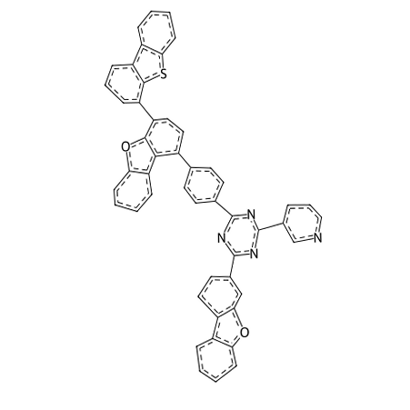 c1cncc(-c2nc(-c3ccc(-c4ccc(-c5cccc6c5sc5ccccc56)c5oc6ccccc6c45)cc3)nc(-c3ccc4c(c3)oc3ccccc34)n2)c1